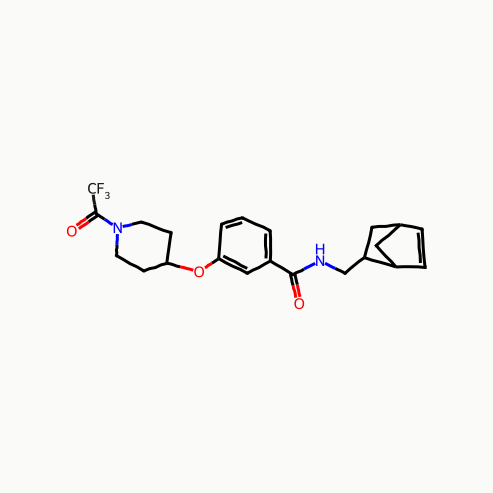 O=C(NCC1CC2C=CC1C2)c1cccc(OC2CCN(C(=O)C(F)(F)F)CC2)c1